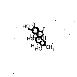 C[C@@H]1C[C@H]2[C@@H]3C[C@H](F)C4=CC(=O)C(CO)=C[C@]4(C)[C@@]3(F)[C@@H](O)C[C@]2(C)[C@H]1O